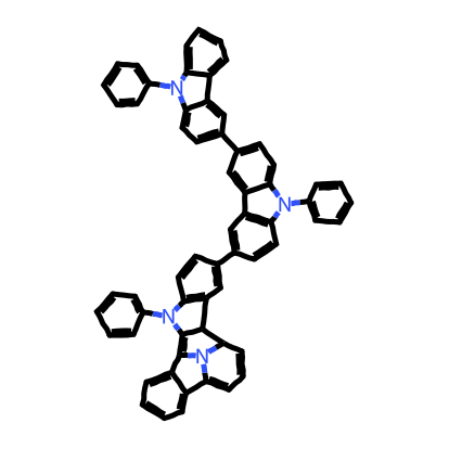 C1=CC2C3C(=c4c5ccccc5c(n42)=C1)N(c1ccccc1)c1ccc(-c2ccc4c(c2)c2cc(-c5ccc6c(c5)c5ccccc5n6-c5ccccc5)ccc2n4-c2ccccc2)cc13